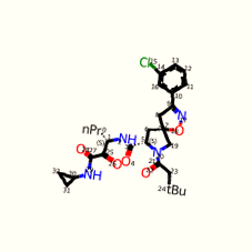 CCC[C@H](NC(=O)[C@@H]1C[C@]2(CC(c3cccc(Cl)c3)=NO2)CN1C(=O)CC(C)(C)C)C(=O)C(=O)NC1CC1